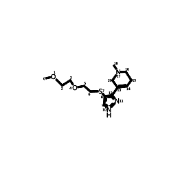 COCCOCCSc1c[nH]nc1C1=CCCN(C)C1